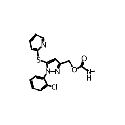 CNC(=O)OCc1cc(Sc2ccccn2)n(-c2ccccc2Cl)n1